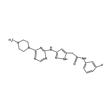 CN1CCN(c2ncnc(Nc3cc(CC(=O)Nc4cccc(F)c4)[nH]n3)n2)CC1